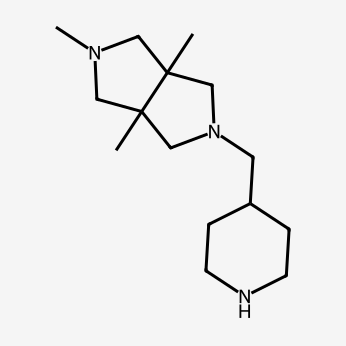 CN1CC2(C)CN(CC3CCNCC3)CC2(C)C1